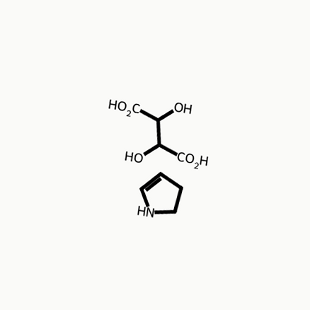 C1=CNCC1.O=C(O)C(O)C(O)C(=O)O